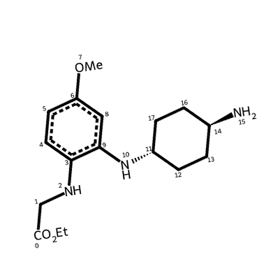 CCOC(=O)CNc1ccc(OC)cc1N[C@H]1CC[C@H](N)CC1